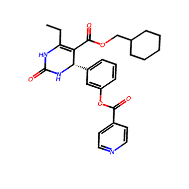 CCC1=C(C(=O)OCC2CCCCC2)[C@H](c2cccc(OC(=O)c3ccncc3)c2)NC(=O)N1